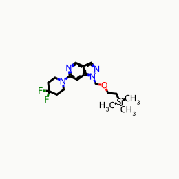 C[Si](C)(C)CCOCn1ncc2cnc(N3CCC(F)(F)CC3)cc21